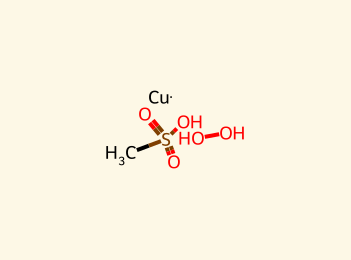 CS(=O)(=O)O.OO.[Cu]